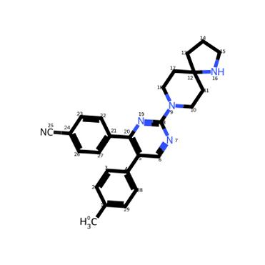 Cc1ccc(-c2cnc(N3CCC4(CCCN4)CC3)nc2-c2ccc(C#N)cc2)cc1